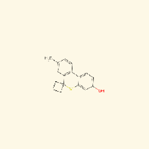 Cc1ccc2c(c1)C1(CCC1)Sc1cc(O)ccc1-2